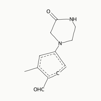 Cc1cc(N2CCNC(=O)C2)ccc1C=O